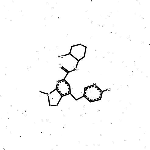 CN1CCc2c(Cc3ccc(Cl)nc3)cc(C(=O)NC3CCCCC3O)nc21